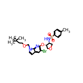 Cc1ccc(S(=O)(=O)N[C@H]2COC[C@@H]2Oc2nc3c(ccn3COCC[Si](C)(C)C)cc2Br)cc1